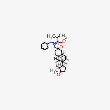 CC(C)[C@@H]1C(=O)O[C@@]2(CC[C@@]3(C)[C@@H](CC[C@@H]4[C@@H]3CC[C@]3(C)C(=O)CC[C@@H]43)C2)CN1Cc1ccccc1